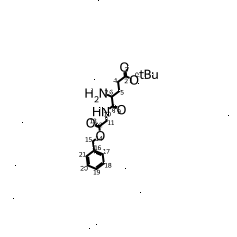 CC(C)(C)OC(=O)CCC(N)C(=O)NCC(=O)OCc1ccccc1